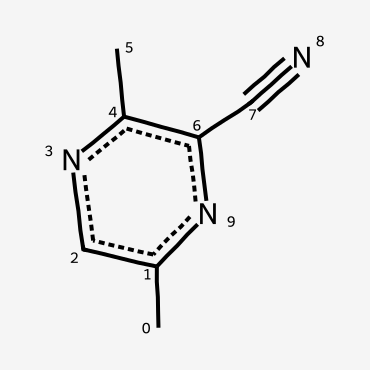 Cc1cnc(C)c(C#N)n1